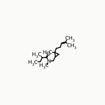 CCC(C)C(=O)N(C)CC1CC1(C)CCC=C(C)C